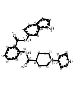 O=C(Nc1ccc2cc[nH]c2c1)c1ccccc1NC(=O)C1CCN(c2ccncc2)CC1